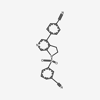 N#Cc1ccc(-c2cncc3c2CCN3S(=O)(=O)c2cccc(C#N)c2)cc1